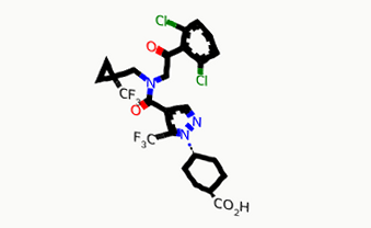 O=C(CN(CC1(C(F)(F)F)CC1)C(=O)c1cnn([C@H]2CC[C@H](C(=O)O)CC2)c1C(F)(F)F)c1c(Cl)cccc1Cl